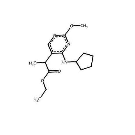 CCOC(=O)C(C)c1cnc(OC)nc1NC1CCCC1